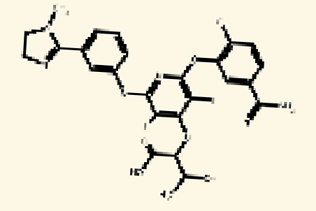 CC(O)C(Oc1c(F)c(Oc2cccc(C3=NCCN3C)c2)nc(Oc2cc(C(=N)N)ccc2O)c1F)C(=O)O